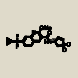 COc1nc2cc(C(F)(F)C3CC3)ccc2cc1C(=O)N[C@@H]1C=CS(=O)(=O)C1